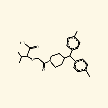 Cc1ccc(C(c2ccc(C)cc2)C2CCN(C(=O)COC(C(=O)O)C(C)C)CC2)cc1